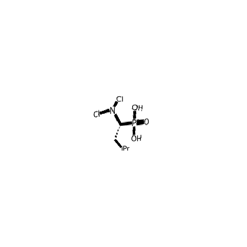 CC(C)C[C@H](N(Cl)Cl)P(=O)(O)O